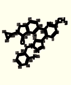 Cc1ccc(-c2cnn(Cc3ccccc3F)c2)c(-c2ccc3c(c2)C(=O)N(C2CC2)C3)n1